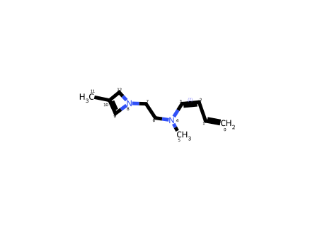 C=C/C=C\N(C)CCN1C=C(C)C1